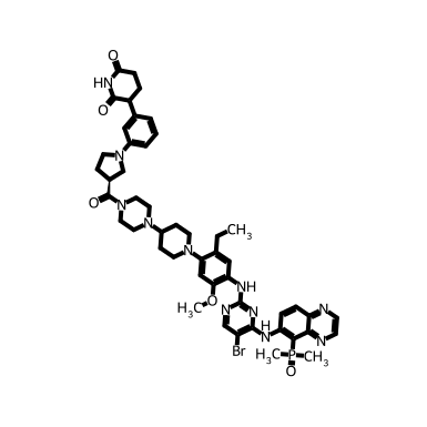 CCc1cc(Nc2ncc(Br)c(Nc3ccc4nccnc4c3P(C)(C)=O)n2)c(OC)cc1N1CCC(N2CCN(C(=O)[C@H]3CCN(c4cccc(C5CCC(=O)NC5=O)c4)C3)CC2)CC1